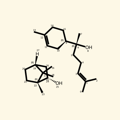 CC(C)=CCC[C@@](C)(O)[C@H]1CC=C(C)CC1.CC1(C)[C@@H]2CC[C@@]1(C)[C@@H](O)C2